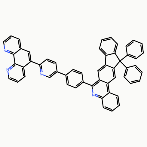 c1ccc(C2(c3ccccc3)c3ccccc3-c3cc4c(-c5ccc(-c6ccc(-c7cc8cccnc8c8ncccc78)nc6)cc5)nc5ccccc5c4cc32)cc1